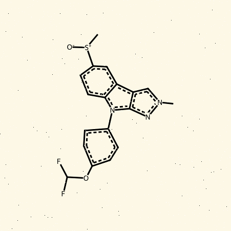 Cn1cc2c3cc([S+](C)[O-])ccc3n(-c3ccc(OC(F)F)cc3)c2n1